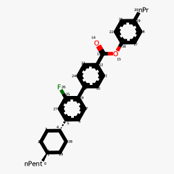 CCCCC[C@H]1CC[C@H](c2ccc(-c3ccc(C(=O)Oc4ccc(CCC)cc4)cc3)c(F)c2)CC1